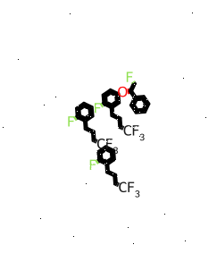 Fc1ccccc1CCCC(F)(F)F.Fc1ccccc1CCCC(F)(F)F.Fc1ccccc1CCCC(F)(F)F.O=C(CF)c1ccccc1